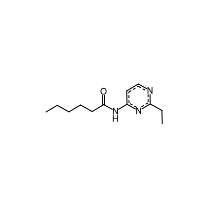 CCCCCC(=O)Nc1ccnc(CC)n1